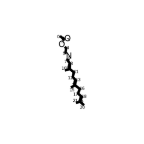 CC(=O)OCC/N=C/C=C(\C)CC/C=C(\C)CCC=C(C)C